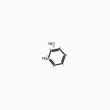 C1=C[CH]=[SnH][CH]=C1.Cl